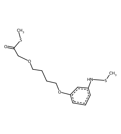 CSNc1cccc(OCCCCOCC(=O)SC)c1